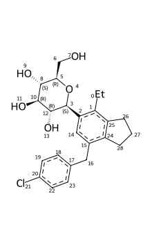 CCc1c([C@@H]2O[C@H](CO)[C@@H](O)[C@H](O)[C@H]2O)cc(Cc2ccc(Cl)cc2)c2c1CCC2